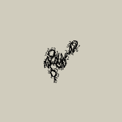 Fc1ccc(-c2ncn(C3CCCCC3)c2-c2ccnc(NCCCN3CCOCC3)n2)cc1